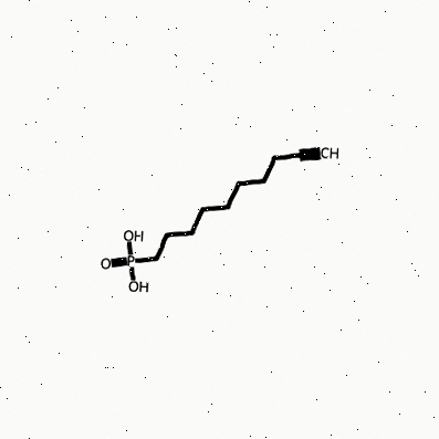 C#CCCCCCCCCP(=O)(O)O